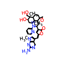 Cn1cc(/C=C2\C=C(C(CC3C4(CCC5[C@]3(C)CC[C@@H](O)[C@@]5(C)CO)CO4)Nc3ccccn3)C(=O)O2)c2cnc(N)nc21